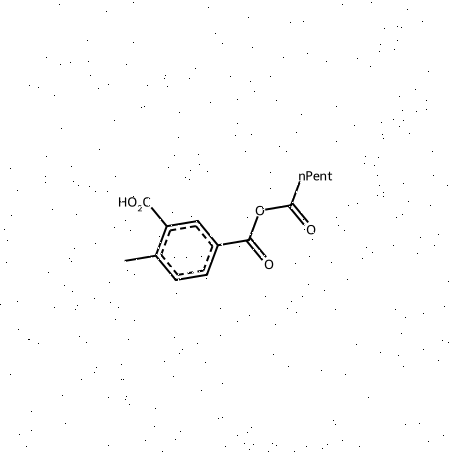 CCCCCC(=O)OC(=O)c1ccc(C)c(C(=O)O)c1